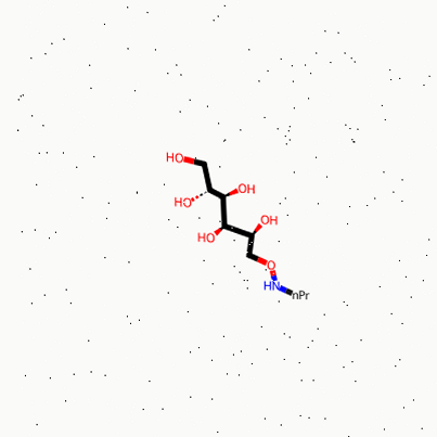 CCCNOC[C@H](O)[C@@H](O)[C@H](O)[C@H](O)CO